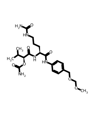 COCOCc1ccc(NC(=O)[C@H](CCCNC(N)=O)NC(=O)[C@@H](OC(N)=O)C(C)C)cc1